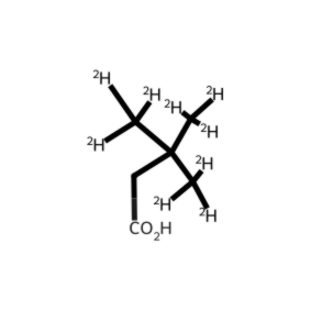 [2H]C([2H])([2H])C(CC(=O)O)(C([2H])([2H])[2H])C([2H])([2H])[2H]